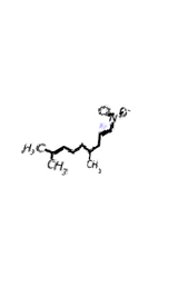 CC(C)=CCCC(C)C/C=C/[N+](=O)[O-]